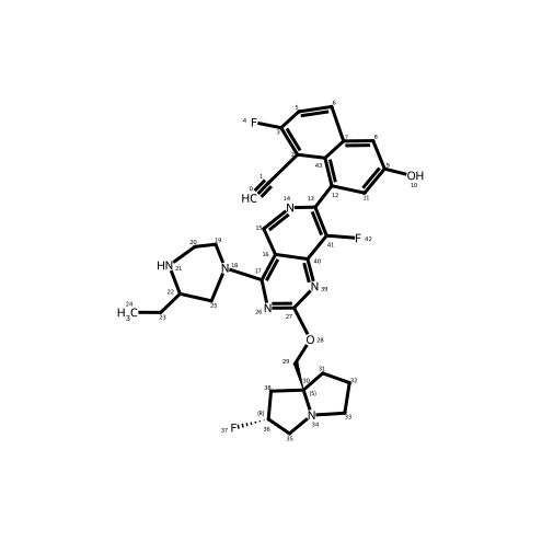 C#Cc1c(F)ccc2cc(O)cc(-c3ncc4c(N5CCNC(CC)C5)nc(OC[C@@]56CCCN5C[C@H](F)C6)nc4c3F)c12